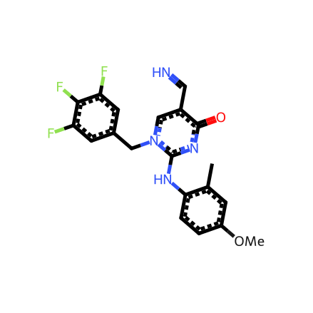 COc1ccc(Nc2nc(=O)c(C=N)cn2Cc2cc(F)c(F)c(F)c2)c(C)c1